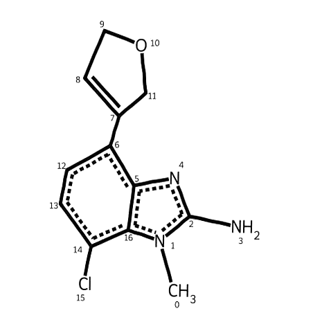 Cn1c(N)nc2c(C3=CCOC3)ccc(Cl)c21